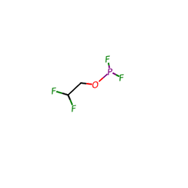 FC(F)COP(F)F